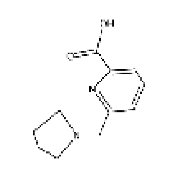 O=C(O)c1cccc(CN2CCCC2)n1